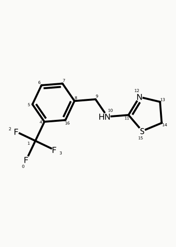 FC(F)(F)c1cccc(CNC2=NCCS2)c1